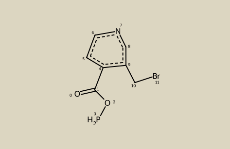 O=C(OP)c1ccncc1CBr